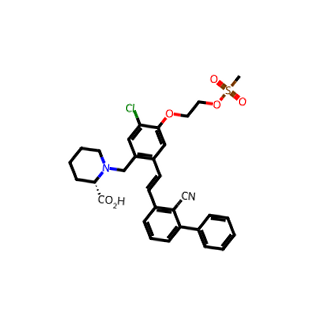 CS(=O)(=O)OCCOc1cc(/C=C/c2cccc(-c3ccccc3)c2C#N)c(CN2CCCC[C@H]2C(=O)O)cc1Cl